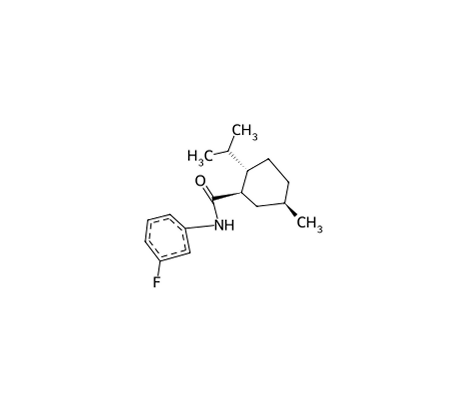 CC(C)[C@@H]1CC[C@@H](C)C[C@H]1C(=O)Nc1cccc(F)c1